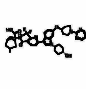 CC1CC2CC(C1)C(NC(=O)c1ccc(-c3cn([C@H]4CC[C@@H](O)CC4)c4cc(OC5CCN(c6ncccn6)CC5)ccc34)nc1C(F)(F)F)(C(=O)O)C2